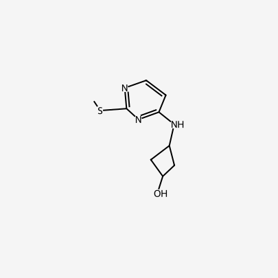 CSc1nccc(NC2CC(O)C2)n1